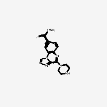 COC(=O)c1ccc2nc(N3CCNCC3)c3nncn3c2c1